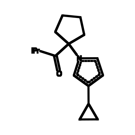 CC(C)C(=O)C1(n2ccc(C3CC3)c2)CCCC1